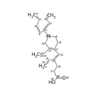 C=C/C=C\C(=C/C=C)N1CCC(/C=C(\C=C)CCC(=O)O)=C(C=C)C1